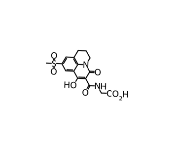 CS(=O)(=O)c1cc2c3c(c1)c(O)c(C(=O)NCC(=O)O)c(=O)n3CCC2